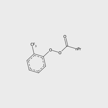 CCCC(=O)OOc1ccccc1C(F)(F)F